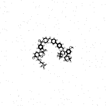 COc1ccc([C@]2(CCN(Cc3ccc(C4=CC[C@H](CN5CCN(C(=O)c6ccc7c(c6)n(C)c(=O)n7C6CCC(=O)N(COCC[Si](C)(C)C)C6=O)CC5)CC4)cc3)CC(C)(C)C(F)(F)F)CCOC(C)(C)C2)cc1